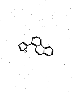 c1csc(-c2cccc3c2ccc2ccccc23)c1